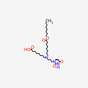 CCCCCCCCOC(=O)CCCCCCCN(CCCCCCCC(=O)O)CCCn1ccc(=O)[nH]c1=O